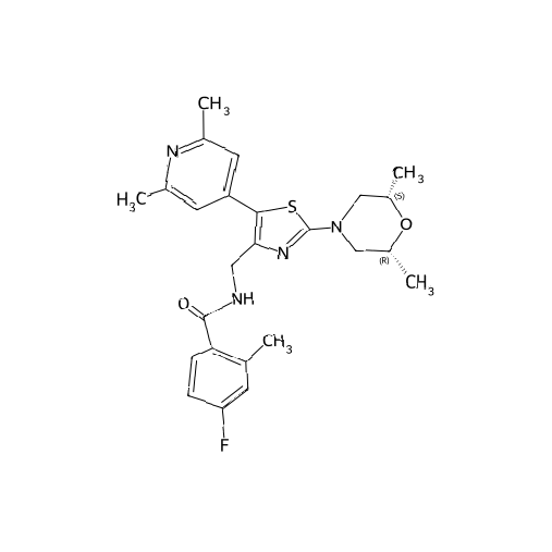 Cc1cc(-c2sc(N3C[C@@H](C)O[C@@H](C)C3)nc2CNC(=O)c2ccc(F)cc2C)cc(C)n1